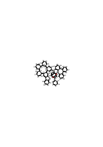 c1ccc(-c2ccc(N(c3ccc4c5ccccc5c5ccccc5c5ccccc5c5cc6c(cc5c4c3)sc3ccccc36)c3cccc4c3N(c3ccccc3)c3ccccc3-c3ccccc3-4)cc2)cc1